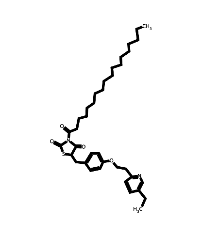 CCCCCCCCCCCCCCCCCC(=O)N1C(=O)SC(Cc2ccc(OCCc3ccc(CC)cn3)cc2)C1=O